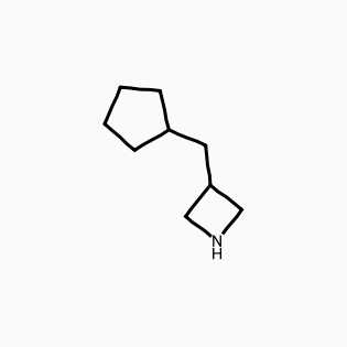 C1CCC(CC2CNC2)C1